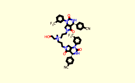 C[N+](CCO)(CCCN1CC2=C(C1=O)[C@@H](c1ccc(C#N)cc1)NC(=O)N2c1cccc(C(F)(F)F)c1)CCCN1CC2=C(C1=O)[C@@H](c1ccc(C#N)cc1)NC(=O)N2c1cccc(C(F)(F)F)c1